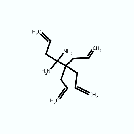 C=CCC(N)(N)C(CC=C)(CC=C)CC=C